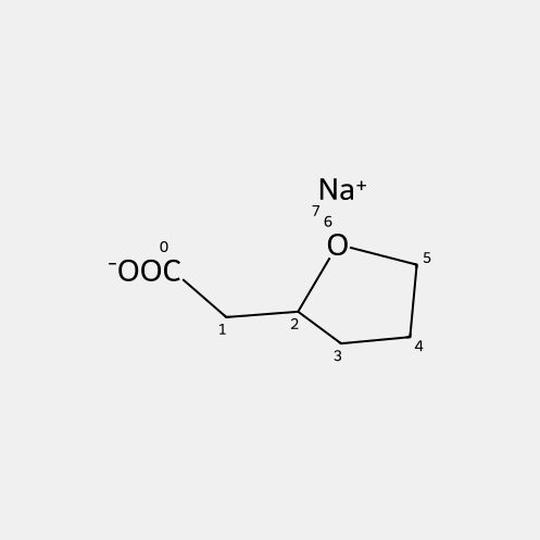 O=C([O-])CC1CCCO1.[Na+]